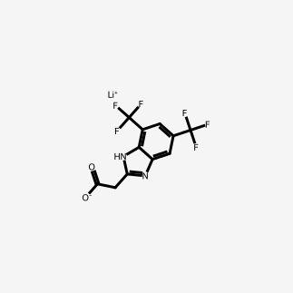 O=C([O-])Cc1nc2cc(C(F)(F)F)cc(C(F)(F)F)c2[nH]1.[Li+]